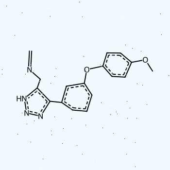 C=NCc1[nH]nnc1-c1cccc(Oc2ccc(OC)cc2)c1